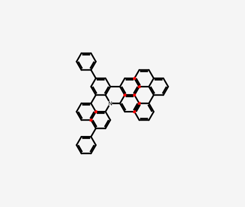 c1ccc(-c2ccc(N(c3cccc(-c4cccc5cccc(-c6ccccc6)c45)c3)c3c(-c4ccccc4)cc(-c4ccccc4)cc3-c3ccccc3)cc2)cc1